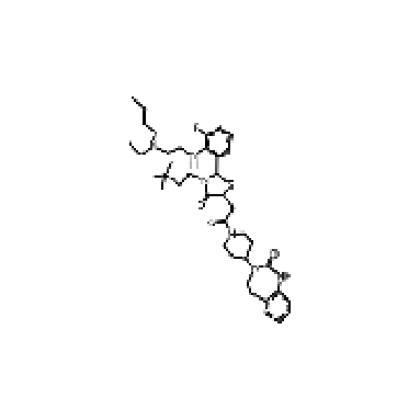 CCCCN(CC)CCNc1c(F)cccc1C1S[C@@H](CC(=O)N2CCC(N3CCc4ccccc4NC3=O)CC2)C(=O)N1CCC(C)(C)C